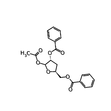 CC(=O)OC1O[C@H](COC(=O)c2ccccc2)C[C@H]1OC(=O)c1ccccc1